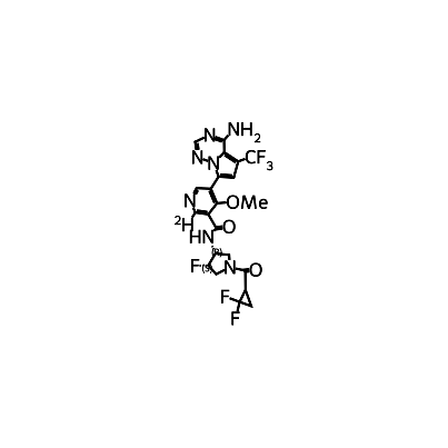 [2H]c1ncc(-c2cc(C(F)(F)F)c3c(N)ncnn23)c(OC)c1C(=O)N[C@@H]1CN(C(=O)C2CC2(F)F)C[C@@H]1F